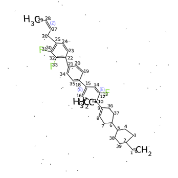 C=CC1CCC(C2CC=C(C(=C)/C(F)=C\C(=C/C)c3ccc(-c4ccc(C/C=C\C)c(F)c4F)cc3)CC2)CC1